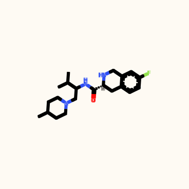 CC1CCN(CC(NC(=O)[C@H]2Cc3ccc(F)cc3CN2)C(C)C)CC1